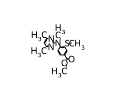 CCOC(=O)c1ccc(N(CC)c2nc(C)cc(C)n2)c(SC)c1